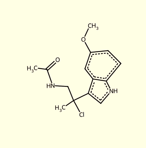 COc1ccc2[nH]cc(C(C)(Cl)CNC(C)=O)c2c1